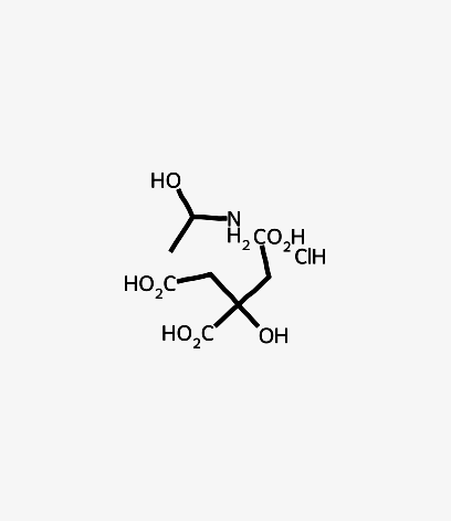 CC(N)O.Cl.O=C(O)CC(O)(CC(=O)O)C(=O)O